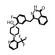 O=c1[nH]nc(Cc2ccc(F)c([P]3(O)CCN(c4ncccc4C(F)(F)F)CC3)c2)c2ccccc12